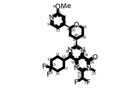 COc1cc([C@@H]2C[C@H](c3nc(C4CCC(F)(F)CC4)c4nc(C(F)F)n(C)c(=O)c4n3)CCO2)ccn1